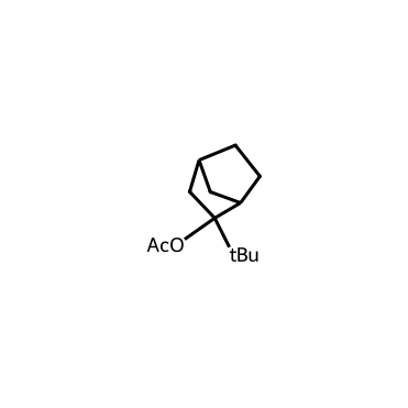 CC(=O)OC1(C(C)(C)C)CC2CCC1C2